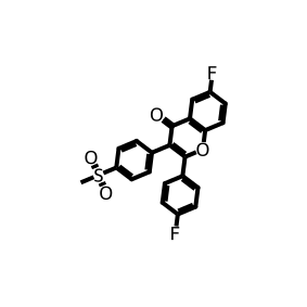 CS(=O)(=O)c1ccc(-c2c(-c3ccc(F)cc3)oc3ccc(F)cc3c2=O)cc1